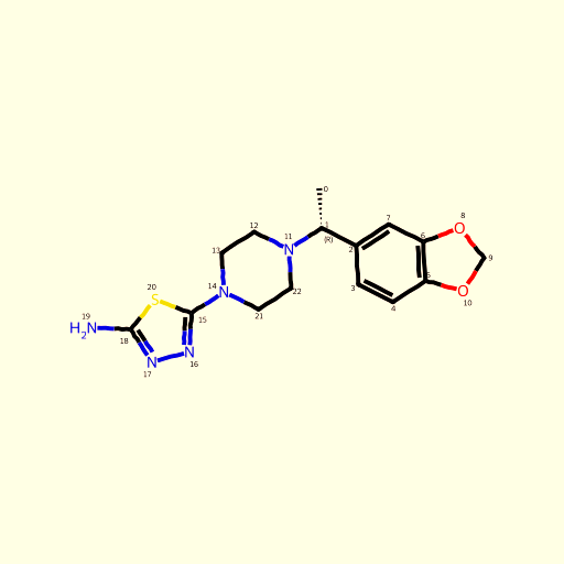 C[C@H](c1ccc2c(c1)OCO2)N1CCN(c2nnc(N)s2)CC1